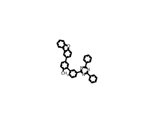 Cc1ccc(-c2ccc3oc4ccccc4c3c2)cc1-c1cccc(-c2nc(-c3ccccc3)nc(-c3ccccc3)n2)c1